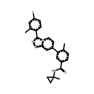 Cc1ccc(C(=O)NC2(C)CC2)cc1-c1ccn2c(-c3ccc(F)cc3C)nnc2c1